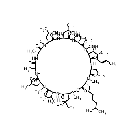 C/C=C/C[C@@H](C)[C@@H](O)[C@H]1C(=O)N[C@@H](CC)C(=O)N(C)[C@H](CSCCCC(C)O)C(=O)CN(C)[C@@H](CC(C)(C)O)C(=O)N[C@@H](C(C)C)C(=O)N(C)[C@@H](CC(C)C)C(=O)N[C@@H](C)C(=O)N[C@H](C)C(=O)N(C)[C@@H](CC(C)C)C(=O)N(C)[C@@H](CC(C)C)C(=O)N(C)[C@@H](C(C)C)C(=O)N1C